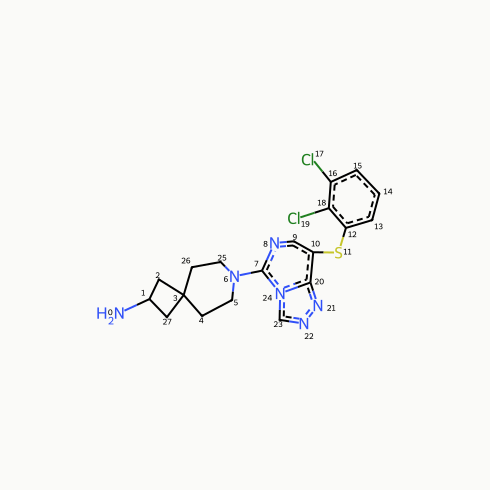 NC1CC2(CCN(c3ncc(Sc4cccc(Cl)c4Cl)c4nncn34)CC2)C1